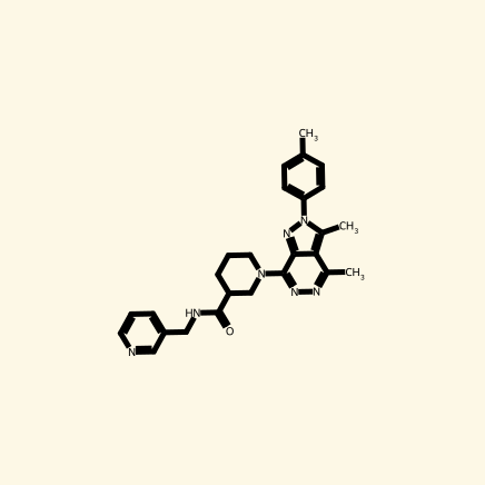 Cc1ccc(-n2nc3c(N4CCCC(C(=O)NCc5cccnc5)C4)nnc(C)c3c2C)cc1